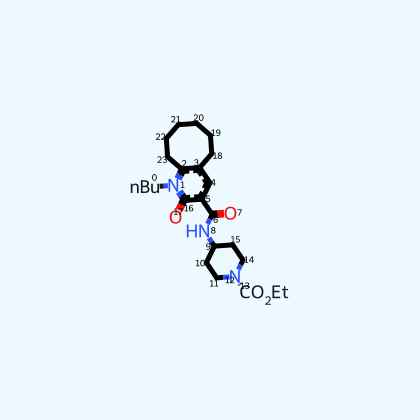 CCCCn1c2c(cc(C(=O)NC3CCN(C(=O)OCC)CC3)c1=O)CCCCCC2